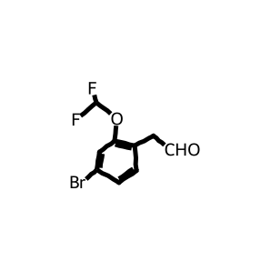 O=CCc1ccc(Br)cc1OC(F)F